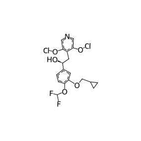 O[C@@H](Cc1c(OCl)cncc1OCl)c1ccc(OC(F)F)c(OCC2CC2)c1